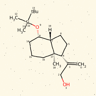 C=C(CO)[C@H]1CC[C@H]2[C@@H](O[Si](C)(C)C(C)(C)C)CCC[C@]12C